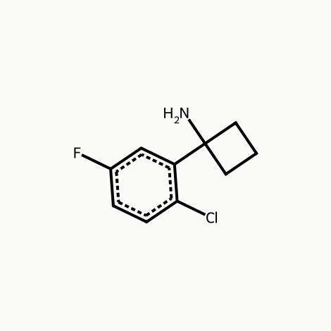 NC1(c2cc(F)ccc2Cl)CCC1